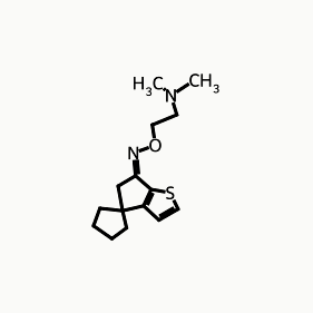 CN(C)CCON=C1CC2(CCCC2)c2ccsc21